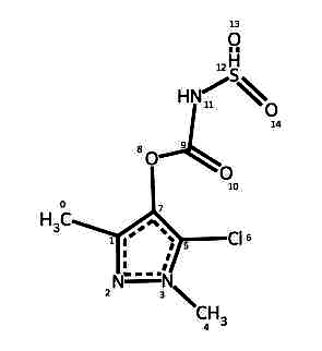 Cc1nn(C)c(Cl)c1OC(=O)N[SH](=O)=O